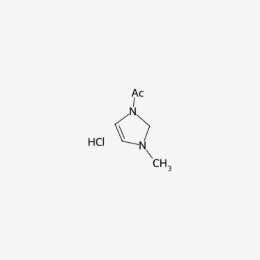 CC(=O)N1C=CN(C)C1.Cl